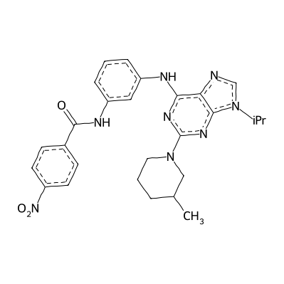 CC1CCCN(c2nc(Nc3cccc(NC(=O)c4ccc([N+](=O)[O-])cc4)c3)c3ncn(C(C)C)c3n2)C1